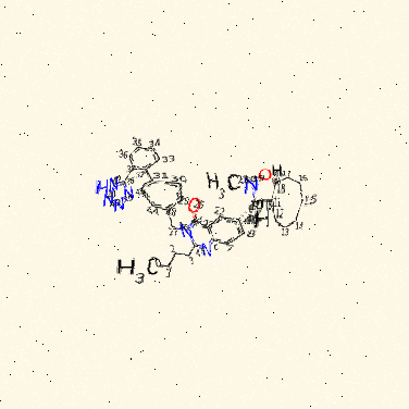 CCCCc1nc2ccc([C@H]3[C@@H]4CCCCCC[C@@H]4ON3C)cc2c(=O)n1Cc1ccc(-c2ccccc2-c2nnn[nH]2)cc1